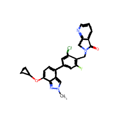 Cn1cc2c(-c3cc(F)c(CN4Cc5ncccc5C4=O)c(Cl)c3)ccc(OC3CC3)c2n1